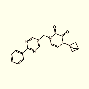 O=c1c(=O)n(C23CC(C2)C3)ccn1Cc1cnc(-c2ccccc2)nc1